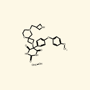 O=C1NC(=O)C(c2ccc(Oc3ccc(OC(F)(F)F)cc3)cc2)(N2CC3(CN(CC4CNC4)CCO3)C2)C(=O)N1.O=CO